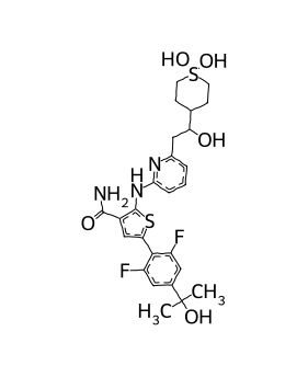 CC(C)(O)c1cc(F)c(-c2cc(C(N)=O)c(Nc3cccc(CC(O)C4CCS(O)(O)CC4)n3)s2)c(F)c1